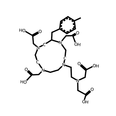 Cc1ccc(CC2CN(CC(=O)O)CCN(CC(=O)O)CCN(CCN(CC(=O)O)CC(=O)O)CCN2CC(=O)O)cc1